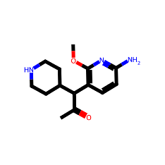 COc1nc(N)ccc1C(C(C)=O)C1CCNCC1